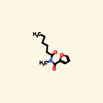 CCCCCC(=O)N(C)C(=O)c1ccco1